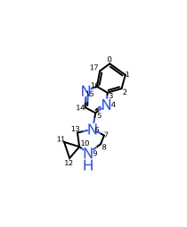 c1ccc2nc(N3CCNC4(CC4)C3)cnc2c1